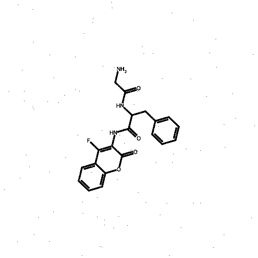 NCC(=O)NC(Cc1ccccc1)C(=O)Nc1c(F)c2ccccc2oc1=O